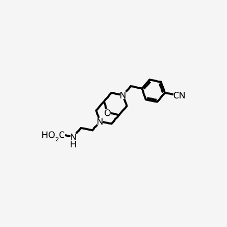 N#Cc1ccc(CN2CC3CN(CCNC(=O)O)CC(C2)O3)cc1